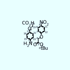 CC(C)(C)OC(=O)COc1ccc([N+](=O)[O-])cc1.Nc1ccc(OCC(=O)O)cc1